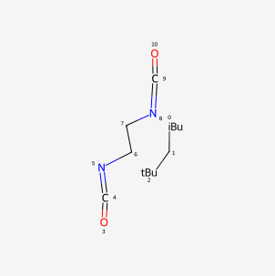 CCC(C)CC(C)(C)C.O=C=NCCN=C=O